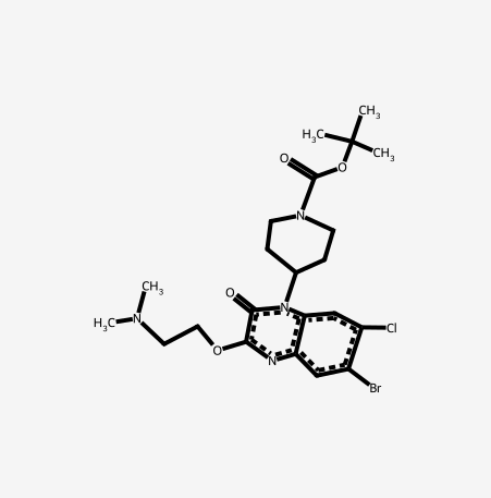 CN(C)CCOc1nc2cc(Br)c(Cl)cc2n(C2CCN(C(=O)OC(C)(C)C)CC2)c1=O